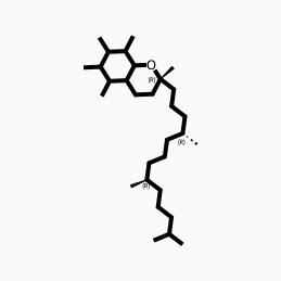 CC(C)CCC[C@@H](C)CCC[C@@H](C)CCC[C@]1(C)CCC2C(C)C(C)C(C)C(C)C2O1